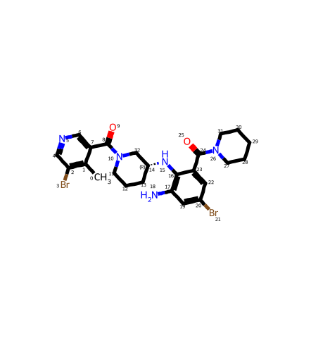 Cc1c(Br)cncc1C(=O)N1CCC[C@@H](Nc2c(N)cc(Br)cc2C(=O)N2CCCCC2)C1